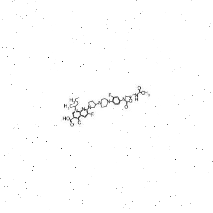 CCC(C)n1cc(C(=O)O)c(=O)c2cc(F)c(N3CCC(N4CCN(c5ccc(N6C[C@H](CNC(C)=O)OC6=O)cc5F)CC4)C3)nc21